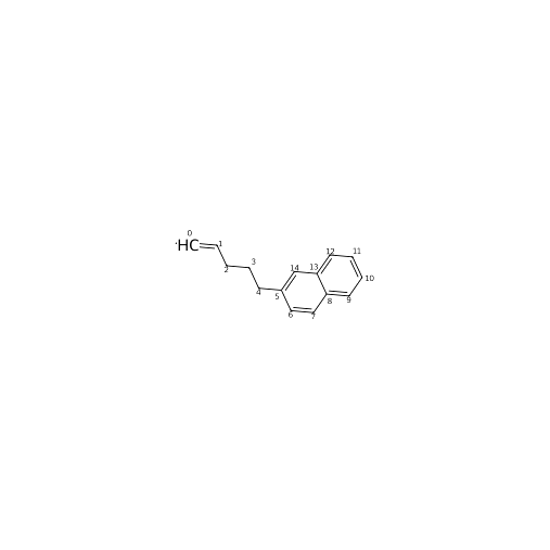 [CH]=CCCCc1ccc2ccccc2c1